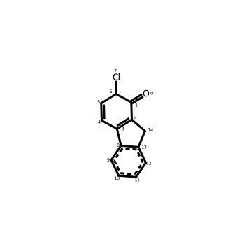 O=C1C2=C(C=CC1Cl)c1ccccc1C2